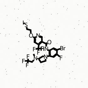 CN(CC(F)(F)F)[C@@H]1CCN(c2cc(F)c(Br)cc2NC(=O)c2cnc(OCCSI)cc2C(F)(F)F)C1